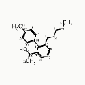 CCCCCc1cccc(C(C)O)c1-c1ccc(C)cc1